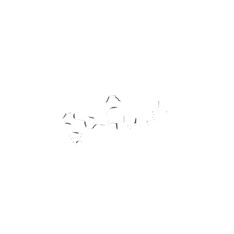 CC(C)(CC(=O)N[C@@H]1Sc2cc(F)ccc2CN(Cc2ccc(-c3ccccc3-c3nnn[nH]3)cc2)C1=O)NC[C@H](O)CO